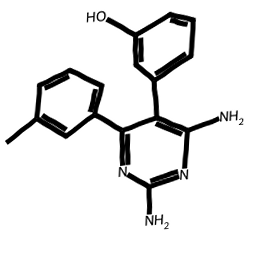 Cc1cccc(-c2nc(N)nc(N)c2-c2cccc(O)c2)c1